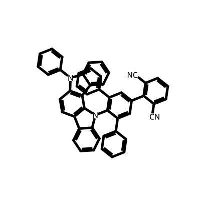 N#Cc1cccc(C#N)c1-c1cc(-c2ccccc2)c(-n2c3ccccc3c3ccc4c(c5ccccc5n4-c4ccccc4)c32)c(-c2ccccc2)c1